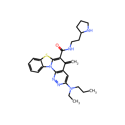 C=C1C(C(=O)NCCC2CCCN2)=C2Sc3ccccc3N2c2nnc(N(CC)CCC)cc21